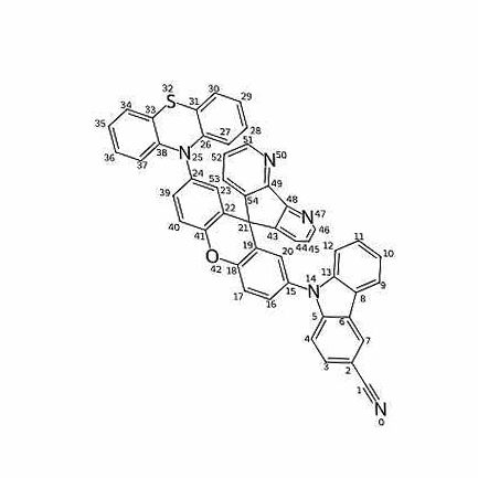 N#Cc1ccc2c(c1)c1ccccc1n2-c1ccc2c(c1)C1(c3cc(N4c5ccccc5Sc5ccccc54)ccc3O2)c2cccnc2-c2ncccc21